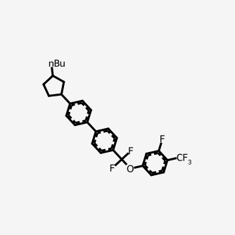 CCCCC1CCC(c2ccc(-c3ccc(C(F)(F)Oc4ccc(C(F)(F)F)c(F)c4)cc3)cc2)C1